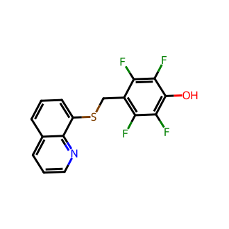 Oc1c(F)c(F)c(CSc2cccc3cccnc23)c(F)c1F